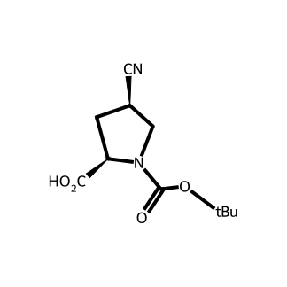 CC(C)(C)OC(=O)N1C[C@H](C#N)C[C@@H]1C(=O)O